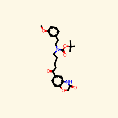 COc1cccc(CCN(CCCCC(=O)c2ccc3c(c2)NC(=O)CO3)C(=O)OC(C)(C)C)c1